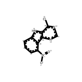 O=[N+]([O-])c1cccc2[nH]c3c(Cl)ncnc3c12